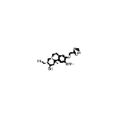 COc1cc2c(cc1OCc1ncno1)CCN1C[C@@H](CC(C)(C)C)[C@H](O)C[C@H]21